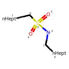 CCCCCCCC[N]S(=O)(=O)CCCCCCCC